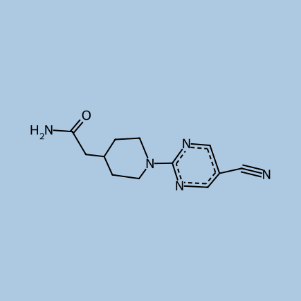 N#Cc1cnc(N2CCC(CC(N)=O)CC2)nc1